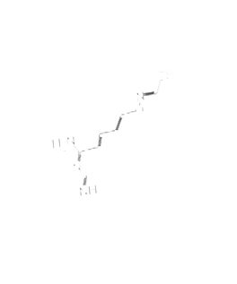 C/C=N/O/C=C/C=C/C(N)=N\C=N